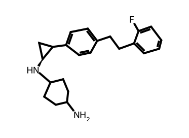 NC1CCC(N[C@H]2CC2c2ccc(CCc3ccccc3F)cc2)CC1